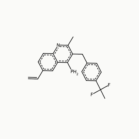 C=Cc1ccc2nc(C)c(Cc3ccc(C(C)(F)F)cc3)c(P)c2c1